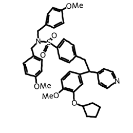 COc1ccc(CN(Cc2ccc(OC)cc2)S(=O)(=O)c2ccc(CC(c3ccncc3)c3ccc(OC)c(OC4CCCC4)c3)cc2)cc1